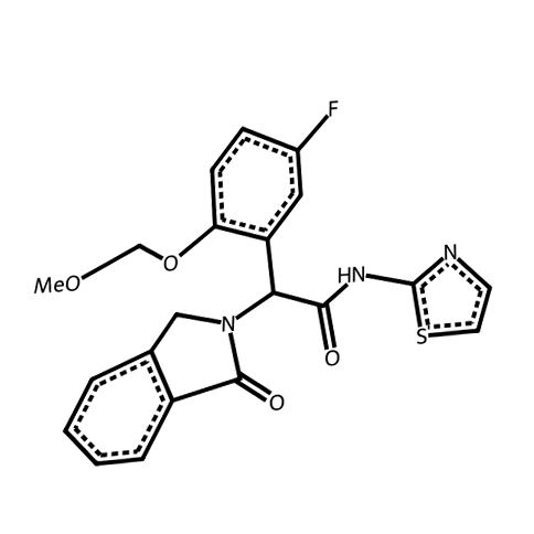 COCOc1ccc(F)cc1C(C(=O)Nc1nccs1)N1Cc2ccccc2C1=O